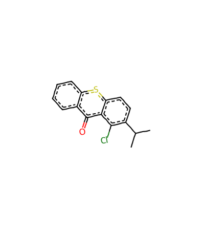 CC(C)c1ccc2sc3ccccc3c(=O)c2c1Cl